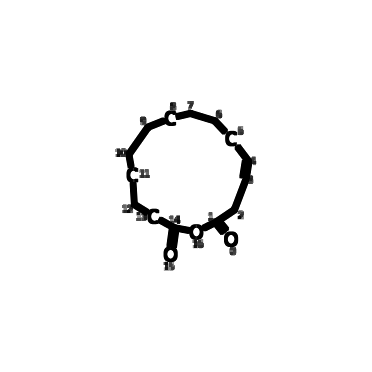 O=C1C/C=C\CCCCCCCCCC(=O)O1